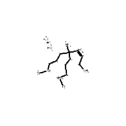 CCNCCCC(N)(/C=C\CN)CCCNCC.Cl.Cl.Cl.Cl